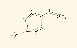 C=Cc1c[c]c(C)cc1